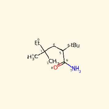 CCC(C)(C)CC(C(N)=O)C(C)(C)C